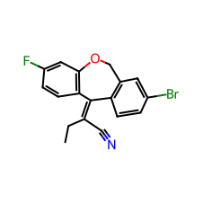 CC/C(C#N)=C1/c2ccc(Br)cc2COc2cc(F)ccc21